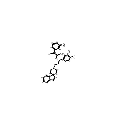 CN(C[C@@H](CCN1CCC2(C=Cc3ccccc32)CC1)c1ccc(Cl)c(Cl)c1)C(=O)c1cccc(Cl)c1